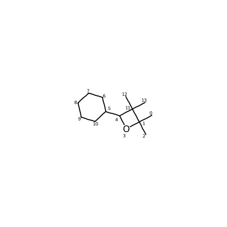 CC1(C)OC(C2CCCCC2)C1(C)C